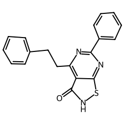 O=c1[nH]sc2nc(-c3ccccc3)nc(CCc3ccccc3)c12